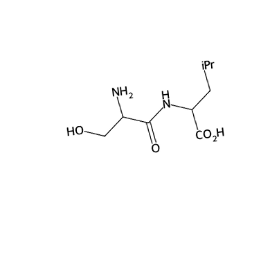 CC(C)CC(NC(=O)C(N)CO)C(=O)O